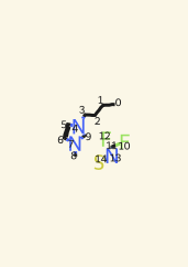 CCCCN1C=CN(C)C1.FC(F)N=S